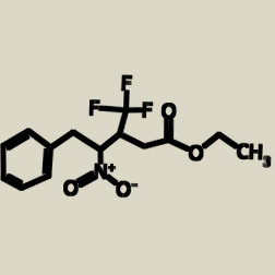 CCOC(=O)CC(C(Cc1ccccc1)[N+](=O)[O-])C(F)(F)F